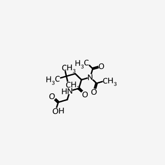 CC(=O)N(C(C)=O)C(CC(C)(C)C)C(=O)NCC(=O)O